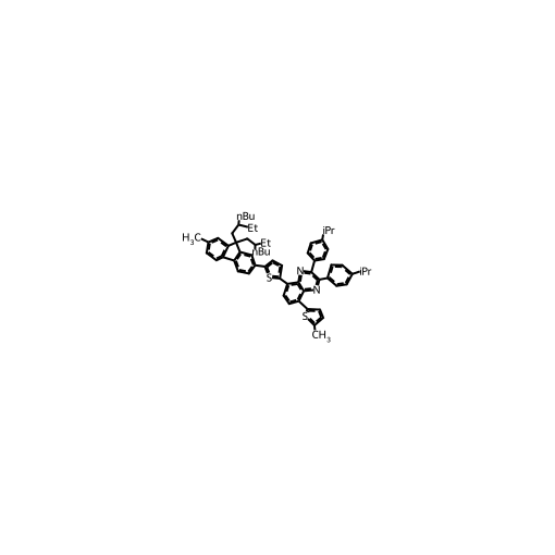 CCCCC(CC)CC1(CC(CC)CCCC)c2cc(C)ccc2-c2ccc(-c3ccc(-c4ccc(-c5ccc(C)s5)c5nc(-c6ccc(C(C)C)cc6)c(-c6ccc(C(C)C)cc6)nc45)s3)cc21